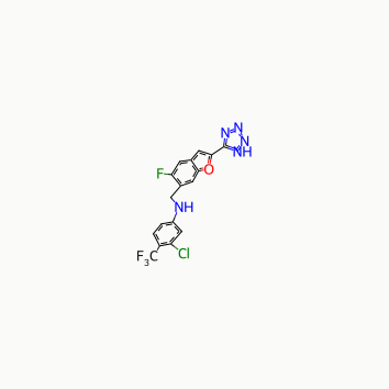 Fc1cc2cc(-c3nnn[nH]3)oc2cc1CNc1ccc(C(F)(F)F)c(Cl)c1